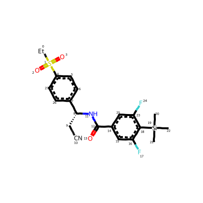 CCS(=O)(=O)c1ccc([C@@H](CC#N)NC(=O)c2cc(F)c([Si](C)(C)C)c(F)c2)cc1